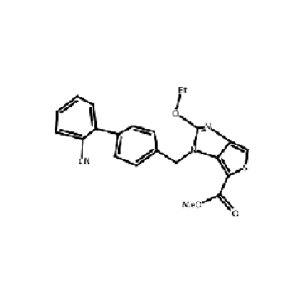 CCOc1nc2csc(C(=O)OC)c2n1Cc1ccc(-c2ccccc2C#N)cc1